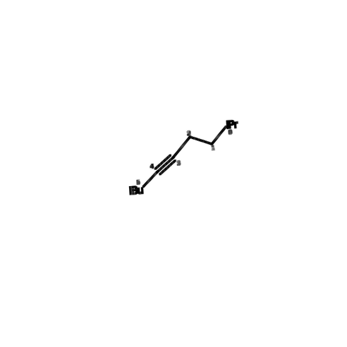 [CH2]C(C)CCC#CC(C)CC